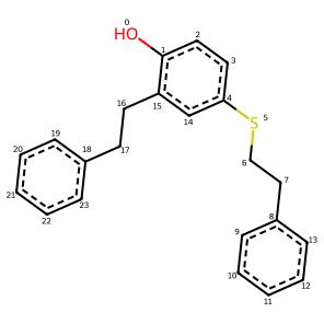 Oc1ccc(SCCc2ccccc2)cc1CCc1ccccc1